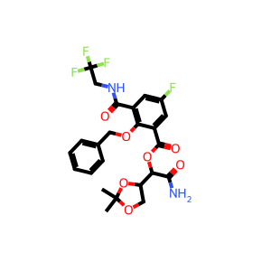 CC1(C)OCC(C(OC(=O)c2cc(F)cc(C(=O)NCC(F)(F)F)c2OCc2ccccc2)C(N)=O)O1